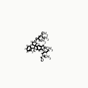 C/C=C\C(=C/N(C)C=O)n1ncc2cc(C3(Cc4ccccc4)CCN(S/C(N)=C/N(C)N)C3)c(C)cc21